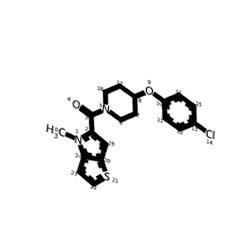 Cn1c(C(=O)N2CCC(Oc3ccc(Cl)cc3)CC2)cc2sccc21